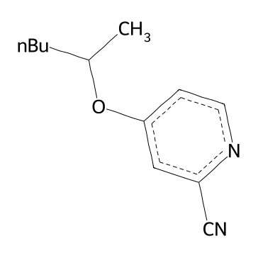 CCCCC(C)Oc1ccnc(C#N)c1